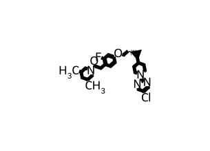 CC1CC(C)CN(C(=O)Cc2ccc(OCC[C@@H]3CC3C3CCN(c4ncc(Cl)cn4)CC3)cc2F)C1